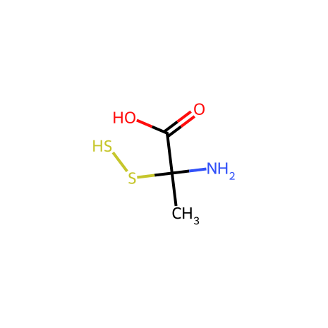 CC(N)(SS)C(=O)O